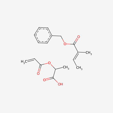 C=CC(=O)OC(C)C(=O)O.CC=C(C)C(=O)OCc1ccccc1